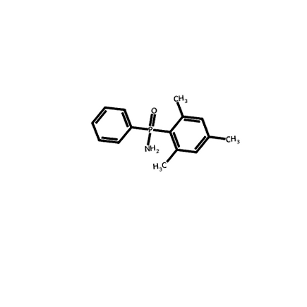 Cc1cc(C)c(P(N)(=O)c2ccccc2)c(C)c1